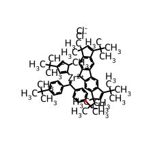 CC1C=C(C(C)(C)C)C=[C]1[Zr+2](=[C](c1ccc(C(C)(C)C)cc1)c1ccc(C(C)(C)C)cc1)[CH]1c2cc3c(cc2-c2cc4c(cc21)C(C)(C)C=C4C(C)(C)C)C(C(C)(C)C)=CC3(C)C.[Cl-].[Cl-]